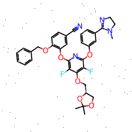 CN1CCN=C1c1cccc(Oc2nc(Oc3cc(C#N)ccc3OCc3ccccc3)c(F)c(OC[C@H]3COC(C)(C)O3)c2F)c1